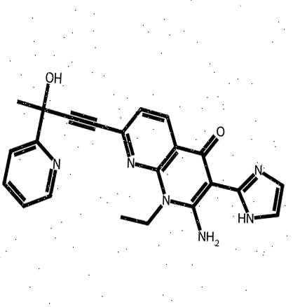 CCn1c(N)c(-c2ncc[nH]2)c(=O)c2ccc(C#CC(C)(O)c3ccccn3)nc21